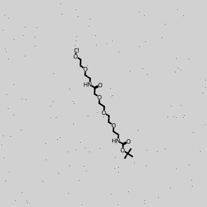 CC(C)(C)OC(=O)NCCOCCOCCOCC(=O)NCCOCCOCl